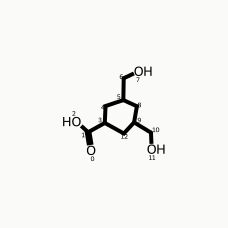 O=C(O)C1CC(CO)CC(CO)C1